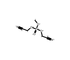 COP(=O)(OCC#N)OCC#N